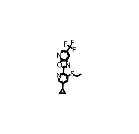 CCSc1cc(C2CC2)cnc1-c1nc2cc(C(F)(F)F)cnc2o1